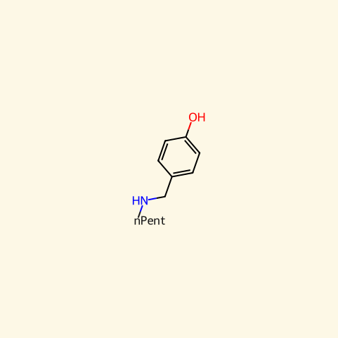 CCCCCNCc1ccc(O)cc1